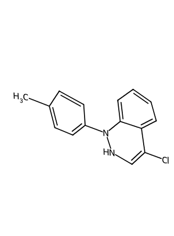 Cc1ccc(N2NC=C(Cl)c3ccccc32)cc1